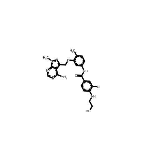 Cc1ccc(NC(=O)c2ccc(NCCO)c(Cl)c2)cc1OCc1nn(C)c2ncnc(N)c12